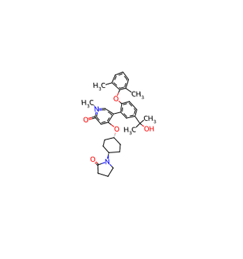 Cc1cccc(C)c1Oc1ccc(C(C)(C)O)cc1-c1cn(C)c(=O)cc1O[C@H]1CC[C@H](N2CCCC2=O)CC1